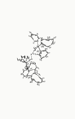 N[C@@](CCCSC(c1ccccc1)(c1ccccc1)c1ccccc1)(C(=O)O)C(=O)OCC1c2ccccc2-c2ccccc21